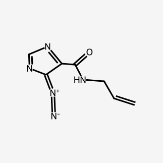 C=CCNC(=O)C1=NC=NC1=[N+]=[N-]